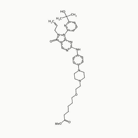 C=CCn1c(=O)c2cnc(Nc3ccc(N4CCN(CCOCCCCCC(=O)OC)CC4)cc3)nc2n1-c1cccc(C(C)(C)O)n1